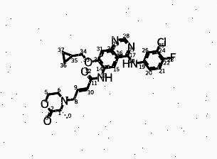 C[C@@H]1C(=O)OCCN1C/C=C/C(=O)Nc1cc2c(Nc3ccc(F)c(Cl)c3)ncnc2cc1OCC1CC1